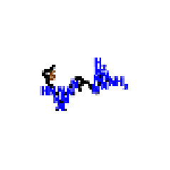 Cc1ccc(CCNc2nc(N(C)C)nc(N(C)Cn3ccc(CCN(C)c4nc(N)nc(N)n4)c3C)n2)s1